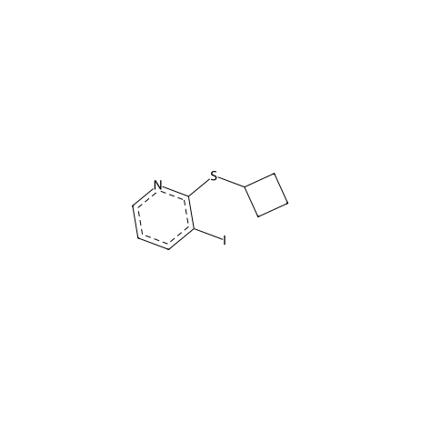 Ic1cccnc1SC1CCC1